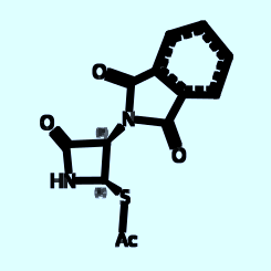 CC(=O)S[C@H]1NC(=O)[C@H]1N1C(=O)c2ccccc2C1=O